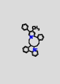 Cc1cc2[n+](cc1-c1ccccc1)CCC1c3ccccc3-c3cccc[n+]3C1CCc1ccccc1-2